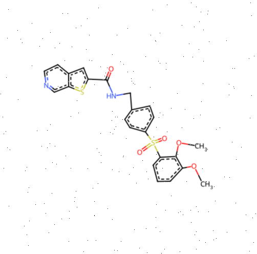 COc1cccc(S(=O)(=O)c2ccc(CNC(=O)c3cc4ccncc4s3)cc2)c1OC